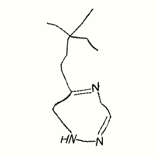 CC(C)(C)CC1=NC=NNC1